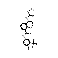 COC(=O)N[C@H]1CCOc2c(C(=O)Nc3ccc(F)c(C(F)(F)F)c3)cccc21